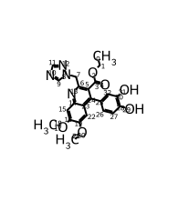 CCOC(=O)c1c(Cn2cncn2)nc2cc(OC)c(OC)cc2c1-c1ccc(O)c(O)c1